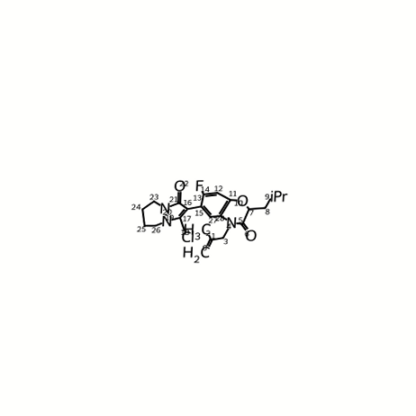 C=C(C)CN1C(=O)C(CC(C)C)Oc2cc(F)c(-c3c(Cl)n4n(c3=O)CCCC4)cc21